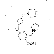 COc1ccc(OC2CC(CN3CCOCC3)C2)cc1CN1CCCC1